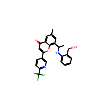 Cc1cc(C(C)Nc2ccccc2CO)c2oc(-c3ccc(C(F)(F)F)nc3)cc(=O)c2c1